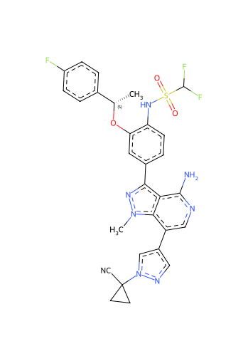 C[C@H](Oc1cc(-c2nn(C)c3c(-c4cnn(C5(C#N)CC5)c4)cnc(N)c23)ccc1NS(=O)(=O)C(F)F)c1ccc(F)cc1